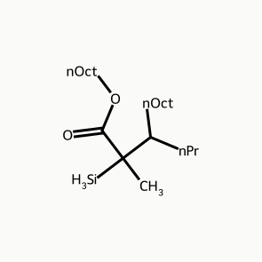 CCCCCCCCOC(=O)C(C)([SiH3])C(CCC)CCCCCCCC